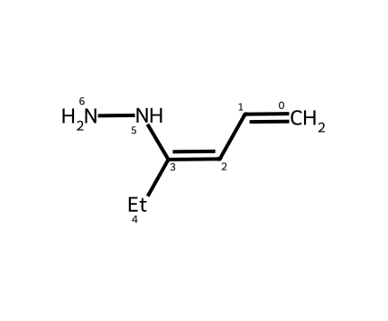 C=C/C=C(/CC)NN